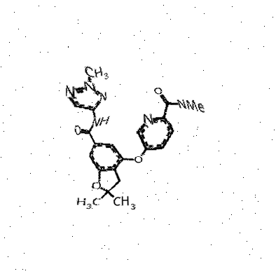 CNC(=O)c1ccc(Oc2cc(C(=O)Nc3cnn(C)n3)cc3c2CC(C)(C)O3)cn1